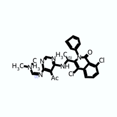 CC(=O)c1c(/N=C\N(C)C)ncnc1N[C@@H](C)c1c(Cl)c2cccc(Cl)c2c(=O)n1-c1ccccc1